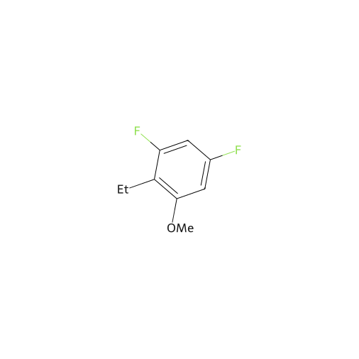 CCc1c(F)cc(F)cc1OC